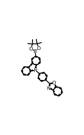 CC1(C)OB(c2ccc3c(c2)c2ccccc2n3-c2ccc(-c3nc4ccccc4o3)cc2)OC1(C)C